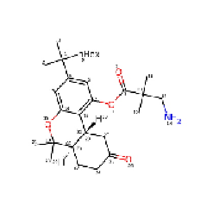 CCCCCCC(C)(C)c1cc(OC(=O)C(C)(C)CN)c2c(c1)OC(C)(C)[C@@H]1CCC(=O)C[C@@H]21